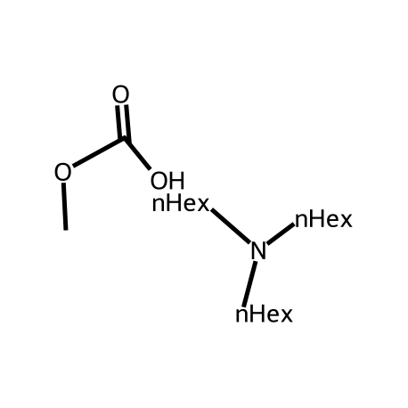 CCCCCCN(CCCCCC)CCCCCC.COC(=O)O